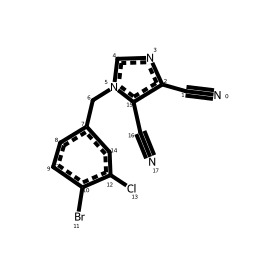 N#Cc1ncn(Cc2ccc(Br)c(Cl)c2)c1C#N